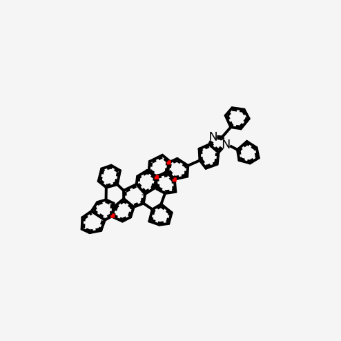 c1ccc(-c2nc3cc(-c4ccc(-c5ccc6c(-c7ccccc7-c7ccc8ccccc8c7)c7ccccc7c(-c7ccccc7-c7ccc8ccccc8c7)c6c5)cc4)ccc3n2-c2ccccc2)cc1